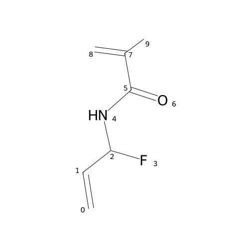 C=CC(F)NC(=O)C(=C)C